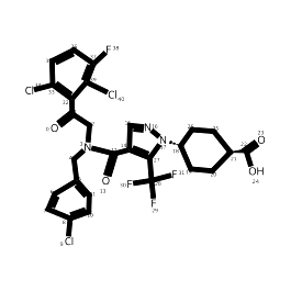 O=C(CN(Cc1ccc(Cl)cc1)C(=O)c1cnn([C@H]2CC[C@H](C(=O)O)CC2)c1C(F)(F)F)c1c(Cl)ccc(F)c1Cl